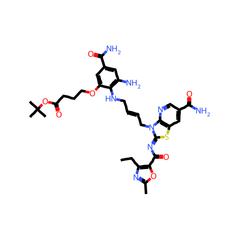 CCc1nc(C)oc1C(=O)/N=c1\sc2cc(C(N)=O)cnc2n1C/C=C/CNc1c(N)cc(C(N)=O)cc1OCCCC(=O)OC(C)(C)C